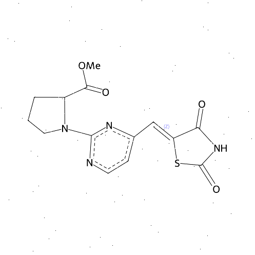 COC(=O)C1CCCN1c1nccc(/C=C2\SC(=O)NC2=O)n1